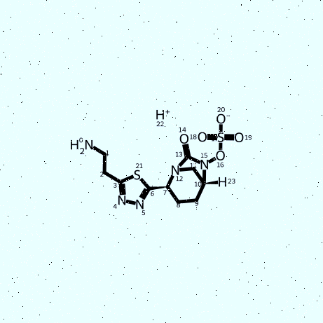 NCCc1nnc([C@@H]2CC[C@@H]3CN2C(=O)N3OS(=O)(=O)[O-])s1.[H+]